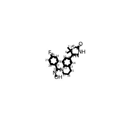 CC1(C)SC(=O)NN=C1c1ccc2c(c1)CCCN2/C(=N\O)c1ccc(F)cc1